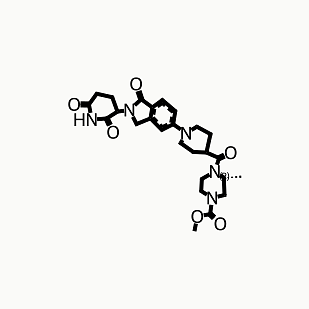 COC(=O)N1CCN(C(=O)C2CCN(c3ccc4c(c3)CN(C3CCC(=O)NC3=O)C4=O)CC2)[C@H](C)C1